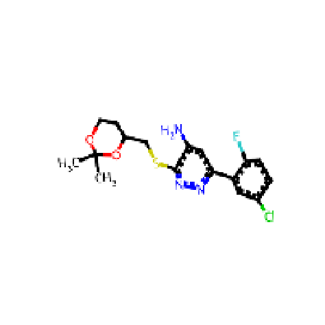 CC1(C)OCCC(CSc2nnc(-c3cc(Cl)ccc3F)cc2N)O1